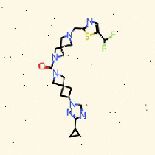 O=C(N1CC2(CC(n3cnc(C4CC4)n3)C2)C1)N1CC2(CN(Cc3ncc(C(F)F)s3)C2)C1